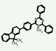 CN1C(c2ccc(C3C=C4C(=CC3)c3ccccc3C4(C)C)cc2)=NC(c2ccccc2)=NC1c1ccccc1